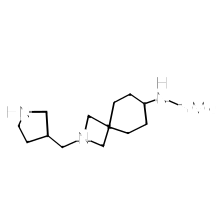 CSNC1CCC2(CC1)CN(CC1CCNC1)C2